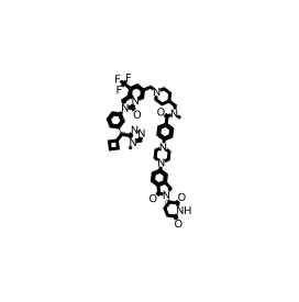 CN(CC1CCN(Cc2cc(C(F)(F)F)c3cn(-c4cccc([C@H](c5nncn5C)C5CCC5)c4)c(=O)n3c2)CC1)C(=O)c1ccc(N2CCN(c3ccc4c(c3)CN([C@H]3CCC(=O)NC3=O)C4=O)CC2)cc1